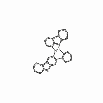 c1ccc2c(c1)B1N(c3cc4c(cc3-2)sc2ccccc24)c2cccc3c4ccccc4n1c23